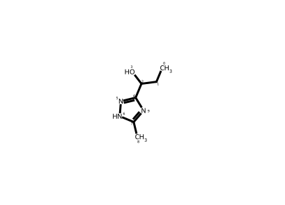 CCC(O)c1n[nH]c(C)n1